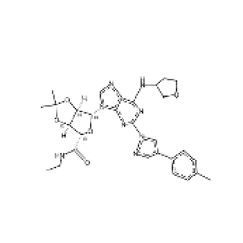 CCNC(=O)[C@H]1O[C@@H](n2cnc3c(NC4CCOC4)nc(-n4cc(-c5ccc(C)cc5)cn4)nc32)[C@@H]2OC(C)(C)O[C@@H]21